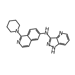 c1cnc2c(Nc3ccc4c(N5CCCCC5)nccc4c3)n[nH]c2c1